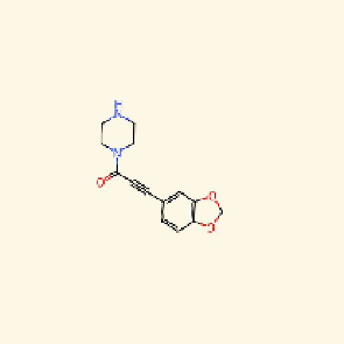 O=C(C#Cc1ccc2c(c1)OCO2)N1CCNCC1